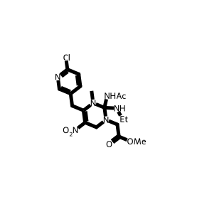 CCNC1(NC(C)=O)N(CC(=O)OC)CC([N+](=O)[O-])=C(Cc2ccc(Cl)nc2)N1C